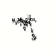 C[C@@H](Nc1cccc(NC2(c3nnc(-c4ccncc4)[nH]3)CCN(C(=O)OC(C)(C)C)CC2)c1)c1cccc(OCCCCCOCCCOCC(=O)O)c1